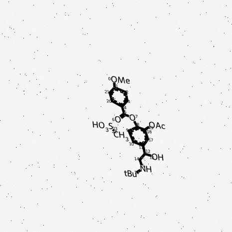 COc1ccc(C(=O)Oc2ccc(C(O)CNC(C)(C)C)cc2OC(C)=O)cc1.CS(=O)(=O)O